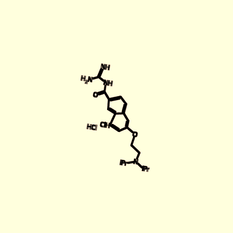 CC(C)N(CCOc1ccc2cc(C(=O)NC(=N)N)ccc2c1)C(C)C.Cl.Cl